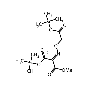 C=C(O[Si](C)(C)C)C(=NOCC(=O)O[Si](C)(C)C)C(=O)OC